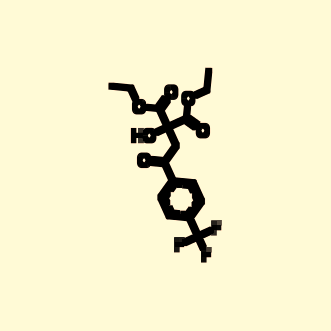 CCOC(=O)C(O)(CC(=O)c1ccc(C(F)(F)F)cc1)C(=O)OCC